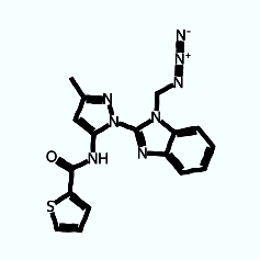 Cc1cc(NC(=O)c2cccs2)n(-c2nc3ccccc3n2CN=[N+]=[N-])n1